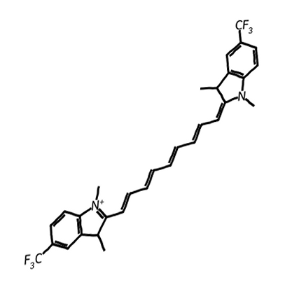 CC1C(/C=C/C=C/C=C/C=C/C=C2\C(C)c3cc(C(F)(F)F)ccc3N2C)=[N+](C)c2ccc(C(F)(F)F)cc21